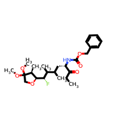 CCC(=O)[C@H](CC(C)C(C)[C@H](F)[C@H]1OCC(OC)(OC)[C@H]1C)NC(=O)OCc1ccccc1